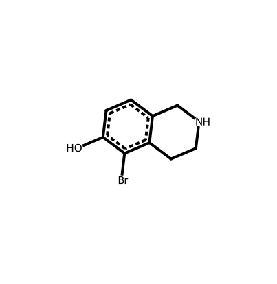 Oc1ccc2c(c1Br)CCNC2